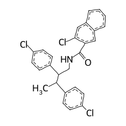 CC(c1ccc(Cl)cc1)C(CNC(=O)c1cc2ccccc2cc1Cl)c1ccc(Cl)cc1